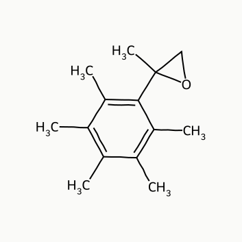 Cc1c(C)c(C)c(C2(C)CO2)c(C)c1C